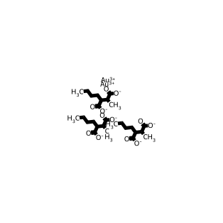 CCCCC(C(=O)[O-])C(C)C(=O)[O-].CCCCC(C(=O)[O-])C(C)C(=O)[O-].CCCCC(C(=O)[O-])C(C)C(=O)[O-].[Au+3].[Au+3]